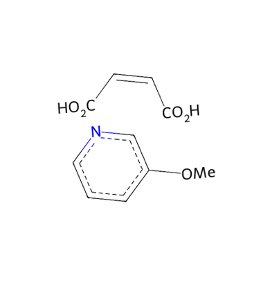 COc1cccnc1.O=C(O)/C=C\C(=O)O